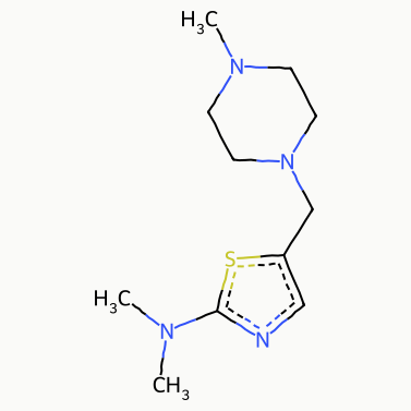 CN1CCN(Cc2cnc(N(C)C)s2)CC1